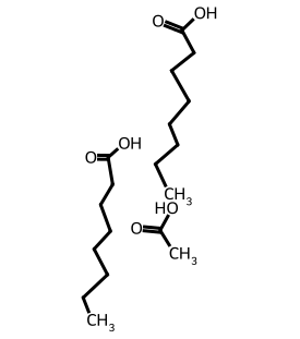 CC(=O)O.CCCCCCCC(=O)O.CCCCCCCC(=O)O